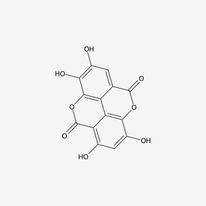 O=c1oc2c(O)cc(O)c3c(=O)oc4c(O)c(O)cc1c4c23